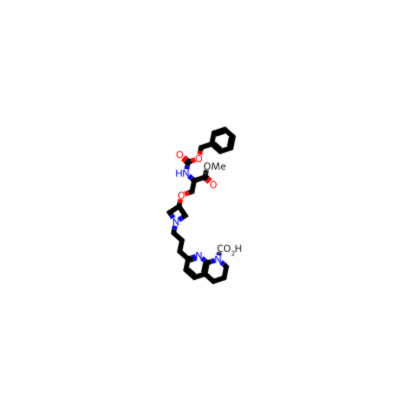 COC(=O)C(COC1CN(CCCc2ccc3c(n2)N(C(=O)O)CCC3)C1)NC(=O)OCc1ccccc1